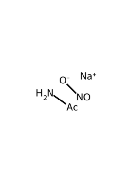 CC(N)=O.O=N[O-].[Na+]